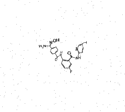 N/C(=N/O)c1ccc(C(=O)Nc2ccc(F)cc2C(=O)Nc2ccc(CI)cn2)cc1